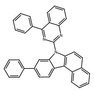 c1ccc(-c2ccc3c4c5ccccc5ccc4n(-c4nc(-c5ccccc5)c5ccccc5n4)c3c2)cc1